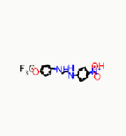 O=[N+](O)c1ccc(NCCNc2ccc(OC(F)(F)F)cc2)cc1